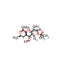 C=CCC1=C(C(=O)OC)O[C@@H]([C@H](OC(C)=O)[C@H]2COC(C)(C)O2)[C@H](C)[C@H]1OCC